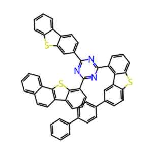 c1ccc(-c2ccc(-c3ccc4sc5cccc(-c6nc(-c7ccc8c(c7)sc7ccccc78)nc(-c7cccc8c7sc7c9ccccc9ccc87)n6)c5c4c3)cc2)cc1